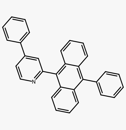 c1ccc(-c2ccnc(-c3c4ccccc4c(-c4ccccc4)c4ccccc34)c2)cc1